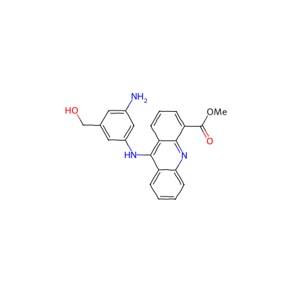 COC(=O)c1cccc2c(Nc3cc(N)cc(CO)c3)c3ccccc3nc12